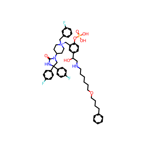 O=C1NC(c2ccc(F)cc2)(c2ccc(F)cc2)CN1C1CC[N+](Cc2cccc(F)c2)(Cc2cc(C(O)CNCCCCCCOCCCCc3ccccc3)ccc2OP(=O)(O)O)CC1